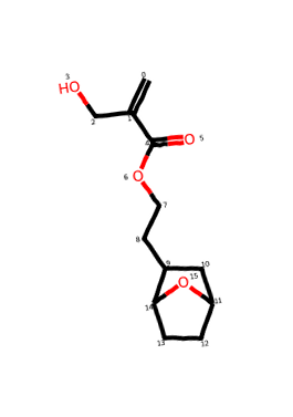 C=C(CO)C(=O)OCCC1CC2CCC1O2